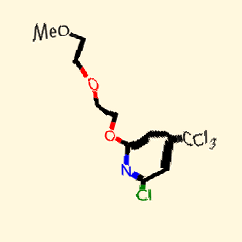 COCCOCCOc1cc(C(Cl)(Cl)Cl)cc(Cl)n1